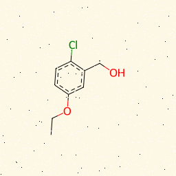 CCOc1ccc(Cl)c([CH]O)c1